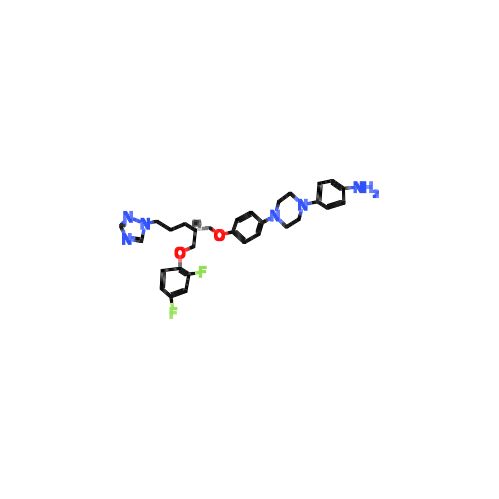 Nc1ccc(N2CCN(c3ccc(OC[C@@H](CCCn4cncn4)COc4ccc(F)cc4F)cc3)CC2)cc1